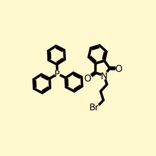 O=C1c2ccccc2C(=O)N1CCCBr.c1ccc(P(c2ccccc2)c2ccccc2)cc1